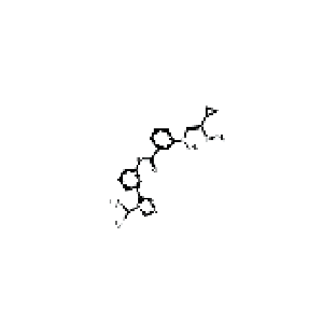 C=N/C(=C\N(C)c1cccc(C(=O)Nc2cccc(-c3nncn3C(C)C)n2)c1)C1CC1